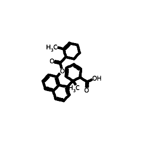 CC1=CCCCC1C(=O)Oc1cccc2cccc(C3(C)C=CC=CC3C(=O)O)c12